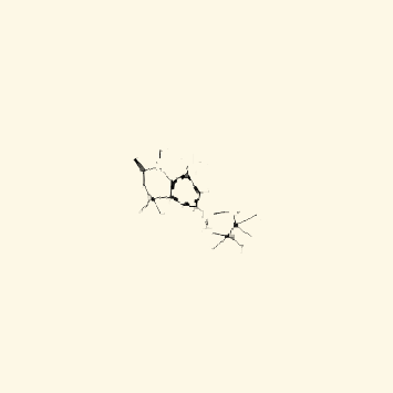 C=C1CC(C)(C)c2cc(B3OC(C)(C)C(C)(C)O3)cc(C(C)(C)C)c2N1C